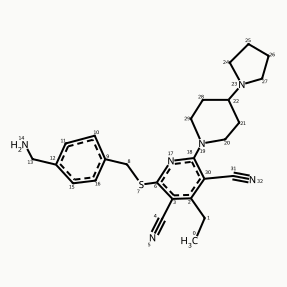 CCc1c(C#N)c(SCc2ccc(CN)cc2)nc(N2CCC(N3CCCC3)CC2)c1C#N